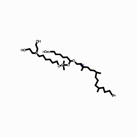 CCCCCCCCCCCCCCCC(OC/C=C(\C)CCCC(C)CCCC(C)CCCC(C)C)O[Si](C)(C)OCCCCCCN(CCO)CCO